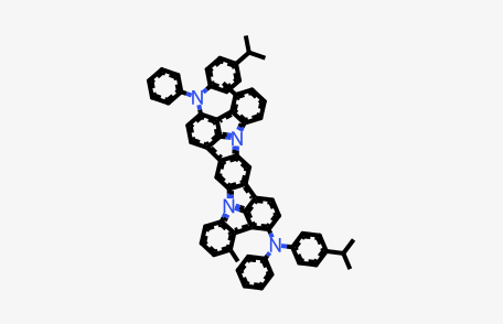 Cc1cccc2c1c1c(N(c3ccccc3)c3ccc(C(C)C)cc3)ccc3c4cc5c(cc4n2c31)c1ccc(N(c2ccccc2)c2ccc(C(C)C)cc2)c2c3c(C)cccc3n5c12